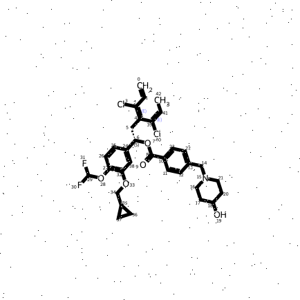 C=C/C(Cl)=C(C[C@H](OC(=O)c1ccc(CN2CCC(O)CC2)cc1)c1ccc(OC(F)F)c(OCC2CC2)c1)\C(Cl)=C/C